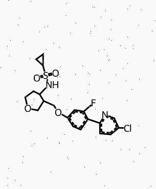 O=S(=O)(NC1CCOCC1COc1ccc(-c2ccc(Cl)cn2)c(F)c1)C1CC1